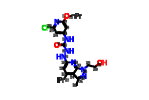 CCCOc1cc(NC(=O)NNc2cc(C(C)C)c3c(C)nn(CCO)c3n2)cc(Cl)n1